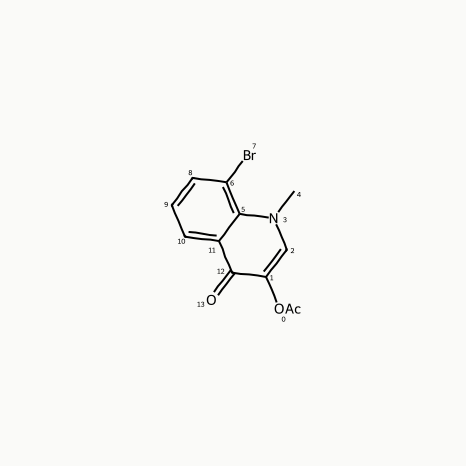 CC(=O)Oc1cn(C)c2c(Br)cccc2c1=O